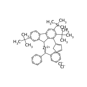 CC(C)(C)c1ccc2c(c1)[CH]([Zr+2]=[C](c1ccccc1)c1ccccc1)c1c-2cc([Si](C)(C)C)c(C(C)(C)C)c1C1=CC=CC1.[Cl-].[Cl-]